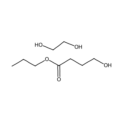 CCCOC(=O)CCCO.OCCO